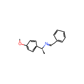 COc1ccc([C@H](C)/N=C/c2ccccc2)cc1